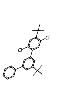 CC(C)(C)c1cc(-c2ccccc2)cc(-c2cc(Cl)c(C(C)(C)C)cc2Cl)c1